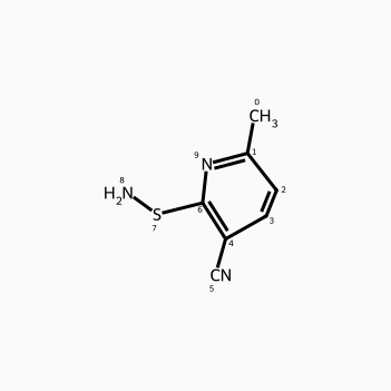 Cc1ccc(C#N)c(SN)n1